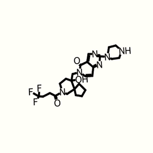 O=C(CCC(F)(F)F)N1CCC(O)(Cn2ccc3nc(N4CCNCC4)ncc3c2=O)C2(CCCC2)C1